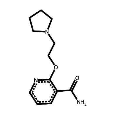 NC(=O)c1cccnc1OCCN1CCCC1